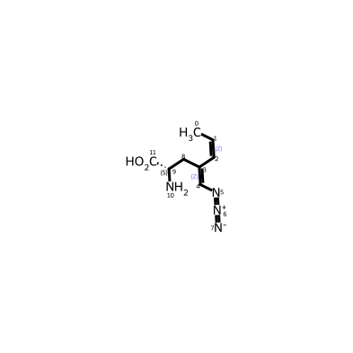 C/C=C\C(=C/N=[N+]=[N-])C[C@H](N)C(=O)O